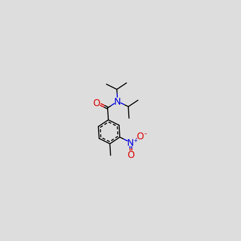 Cc1ccc(C(=O)N(C(C)C)C(C)C)cc1[N+](=O)[O-]